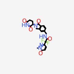 Cn1nc(C(F)(F)C(=O)NCc2ccc3c(c2)CN(C2CCC(=O)NC2=O)C3=O)ccc1=O